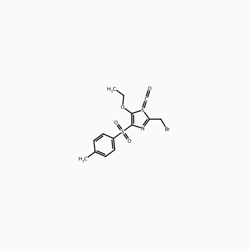 CCOC1=C(S(=O)(=O)c2ccc(C)cc2)N=C(CBr)S1=C=O